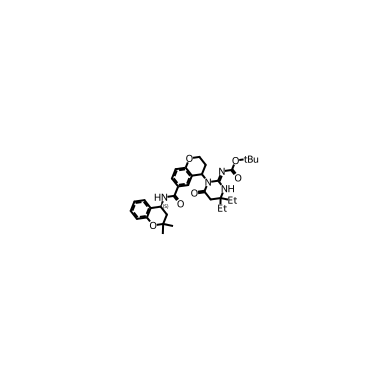 CCC1(CC)CC(=O)N(C2CCOc3ccc(C(=O)N[C@H]4CC(C)(C)Oc5ccccc54)cc32)C(=NC(=O)OC(C)(C)C)N1